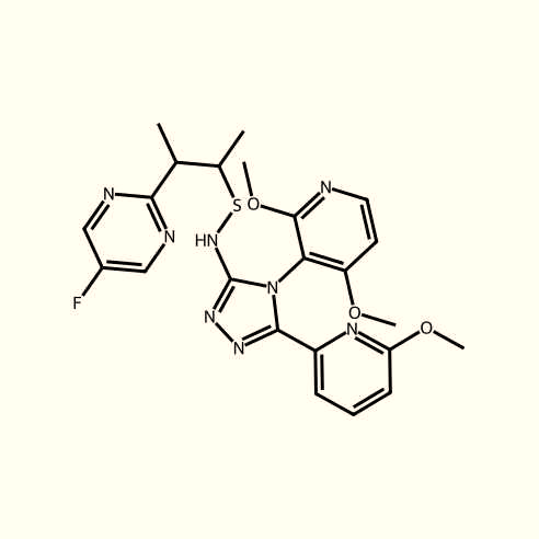 COc1cccc(-c2nnc(NSC(C)C(C)c3ncc(F)cn3)n2-c2c(OC)ccnc2OC)n1